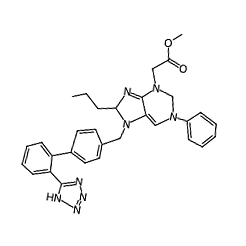 CCCC1N=C2C(=CN(c3ccccc3)CN2CC(=O)OC)N1Cc1ccc(-c2ccccc2-c2nnn[nH]2)cc1